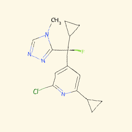 Cn1cnnc1[C@@](F)(c1cc(Cl)nc(C2CC2)c1)C1CC1